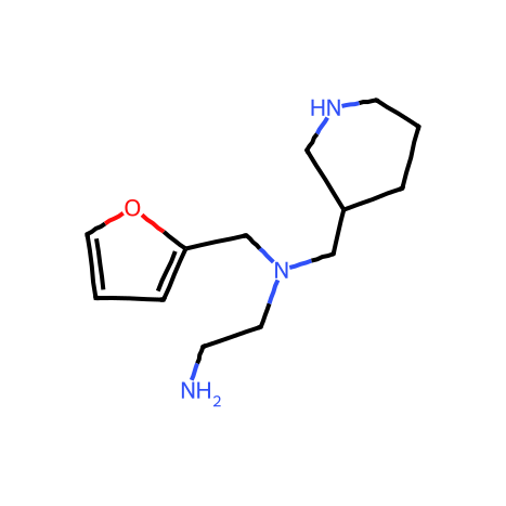 NCCN(Cc1ccco1)CC1CCCNC1